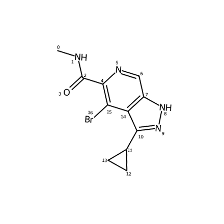 CNC(=O)c1ncc2[nH]nc(C3CC3)c2c1Br